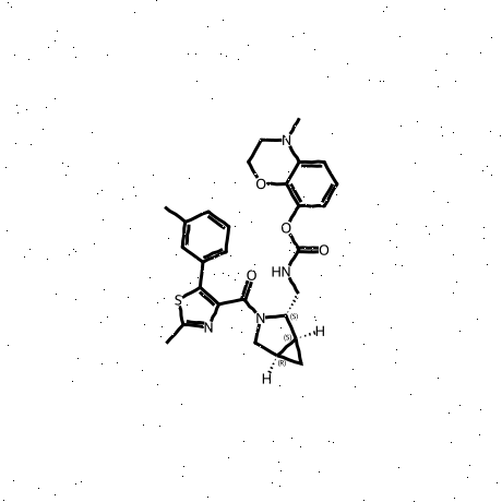 Cc1cccc(-c2sc(C)nc2C(=O)N2C[C@@H]3C[C@@H]3[C@H]2CNC(=O)Oc2cccc3c2OCCN3C)c1